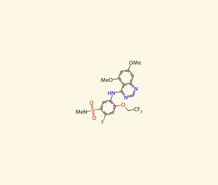 CNS(=O)(=O)c1cc(Nc2ncnc3cc(OC)cc(OC)c23)c(OCC(F)(F)F)cc1F